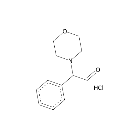 Cl.O=CC(c1ccccc1)N1CCOCC1